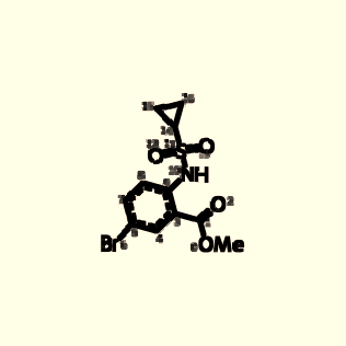 COC(=O)c1cc(Br)ccc1NS(=O)(=O)C1CC1